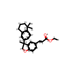 CCOC(=O)C=Cc1ccc2c(c1)C(C)(c1ccc3c(c1)CCCC3(C)C)CO2